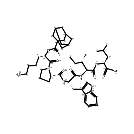 CC[C@H](C)[C@H](NC(=O)[C@H](Cc1c[nH]c2ccccc12)NC(=O)[C@@H]1CCCN1C(=O)[C@H](CCCCN)NC(=O)C12CC3CC(CC(C3)C1)C2)C(=O)N[C@@H](CC(C)C)C(=O)O